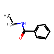 C[SiH2]NC(=O)c1ccccc1